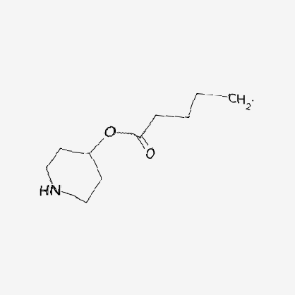 [CH2]CCCC(=O)OC1CCNCC1